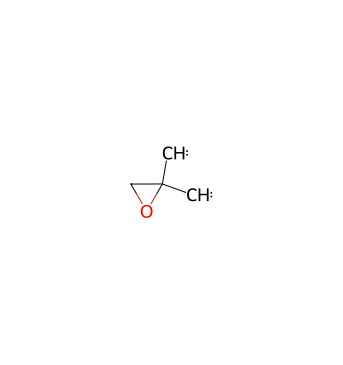 [CH]C1([CH])CO1